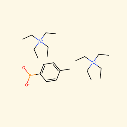 CC[N+](CC)(CC)CC.CC[N+](CC)(CC)CC.Cc1ccc(P([O-])[O-])cc1